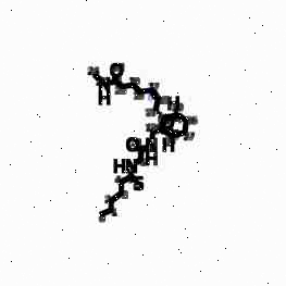 CCCCCC(=S)NCC(=O)NC[C@@H]1[C@H](C/C=C\CCCC(=O)NC)[C@@H]2CC[C@H]1O2